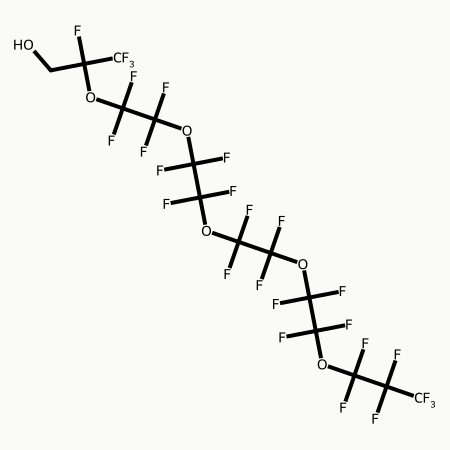 OCC(F)(OC(F)(F)C(F)(F)OC(F)(F)C(F)(F)OC(F)(F)C(F)(F)OC(F)(F)C(F)(F)OC(F)(F)C(F)(F)C(F)(F)F)C(F)(F)F